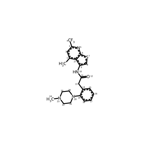 Cc1cc(C(F)(F)F)nc2scc(NC(=O)Cc3ccccc3N3CCN(C)CC3)c12